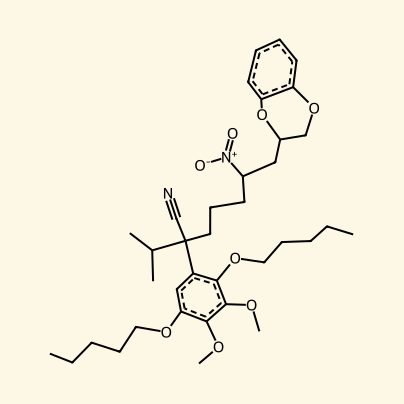 CCCCCOc1cc(C(C#N)(CCCC(CC2COc3ccccc3O2)[N+](=O)[O-])C(C)C)c(OCCCCC)c(OC)c1OC